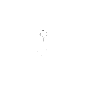 CC1OB(c2cnoc2)OC1(C)C